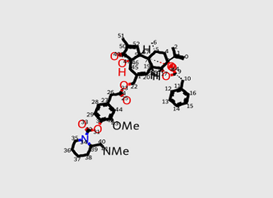 C=C(C)[C@]12C[C@@H](C)[C@@]34O[C@](Cc5ccccc5)(O[C@@H]1[C@@H]3C=C(COC(=O)Cc1ccc(OC(=O)N3CCCCC3CNC)c(OC)c1)C[C@]1(O)C(=O)C(C)=C[C@@H]41)O2